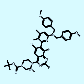 COc1ccc(CN(Cc2ccc(OC)cc2)c2cc(C)c(C)c(-c3c(Cl)cc4c(N5CCN(C(=O)OC(C)(C)C)C[C@@H]5C)nc(F)nc4c3F)n2)cc1